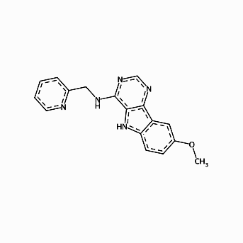 COc1ccc2[nH]c3c(NCc4ccccn4)ncnc3c2c1